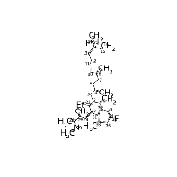 C=C/C(CC(=C)CCC(=C)/C=C\C/C=C(\C=C)C(C)(F)I)=C(CC)\C(=C/C(=C)C(=C)N=C)c1ccc(F)cc1C